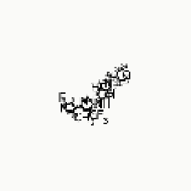 Cc1cnc(F)cc1-c1cc(C(F)(F)F)c(N[C@@H]2C[C@@H]3CN(CC4CCOCC4)C[C@@H]3C2)nn1